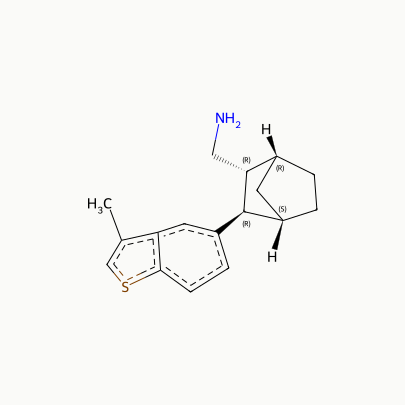 Cc1csc2ccc([C@@H]3[C@H]4CC[C@H](C4)[C@H]3CN)cc12